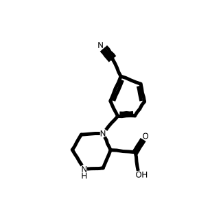 N#Cc1cccc(N2CCNCC2C(=O)O)c1